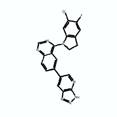 Fc1cc2c(cc1Cl)N(c1ncnc3ccc(-c4cnc5[nH]nnc5c4)cc13)CC2